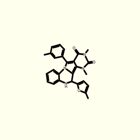 Cc1cccc(-c2c3c(=O)n(C)c(=O)n(C)c3c3n2-c2ccccc2NC3c2ccc(C)o2)c1